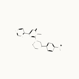 Cn1c(N2CCOC(c3ccc([N+](=O)[O-])cc3)C2)nc(-c2ccncn2)cc1=O